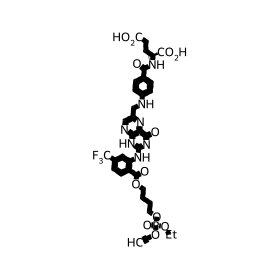 C#COP(=O)(OCC)OCCCCOC(=O)c1ccc(C(F)(F)F)cc1Nc1nc(=O)c2nc(CNc3ccc(C(=O)N[C@@H](CCC(=O)O)C(=O)O)cc3)cnc2[nH]1